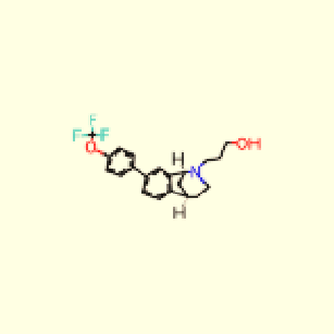 OCCCN1CC[C@@H]2C[C@H]1c1cc(-c3ccc(OC(F)(F)F)cc3)ccc12